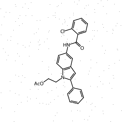 CC(=O)OCCn1c(-c2ccccc2)cc2cc(NC(=O)c3ccccc3Cl)ccc21